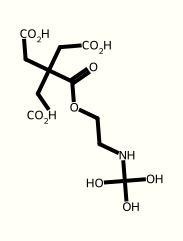 O=C(O)CC(CC(=O)O)(CC(=O)O)C(=O)OCCNC(O)(O)O